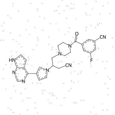 N#CCC(CN1CCN(C(=O)c2cc(F)cc(C#N)c2)CC1)n1ccc(-c2ncnc3[nH]ccc23)c1